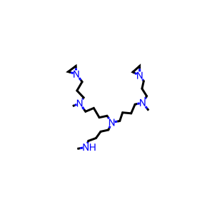 CNCCCCN(CCCCN(C)CCCN1CC1)CCCCN(C)CCCN1CC1